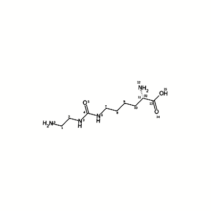 NCCNC(=O)NCCCC[C@H](N)C(=O)O